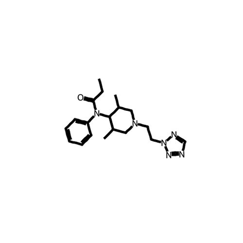 CCC(=O)N(c1ccccc1)C1C(C)CN(CCn2ncnn2)CC1C